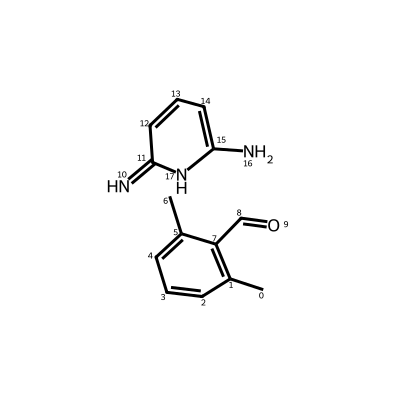 Cc1cccc(C)c1C=O.N=c1cccc(N)[nH]1